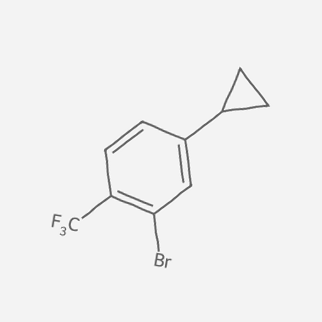 FC(F)(F)c1ccc(C2CC2)cc1Br